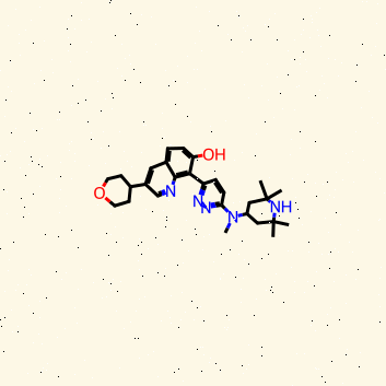 CN(c1ccc(-c2c(O)ccc3cc(C4CCOCC4)cnc23)nn1)C1CC(C)(C)NC(C)(C)C1